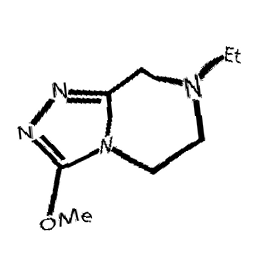 CCN1CCn2c(nnc2OC)C1